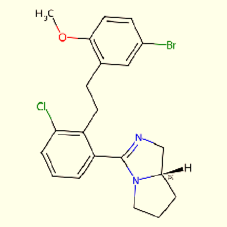 COc1ccc(Br)cc1CCc1c(Cl)cccc1C1=NC[C@@H]2CCCN12